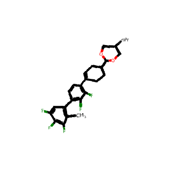 CCCC1COC(C2CC=C(c3ccc(-c4cc(F)c(F)c(F)c4C)c(F)c3F)CC2)OC1